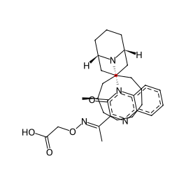 C/C(=N\OCC(=O)O)c1nc2ccccc2n([C@H]2C[C@H]3CCC[C@@H](C2)N3[C@@H]2CCCCCC[C@@H](C)C2)c1=O